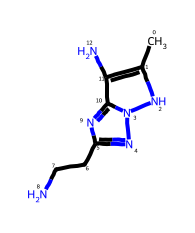 Cc1[nH]n2nc(CCN)nc2c1N